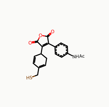 CC(=O)Nc1ccc(C2=C(C3C=CC(CS)=CC3)C(=O)OC2=O)cc1